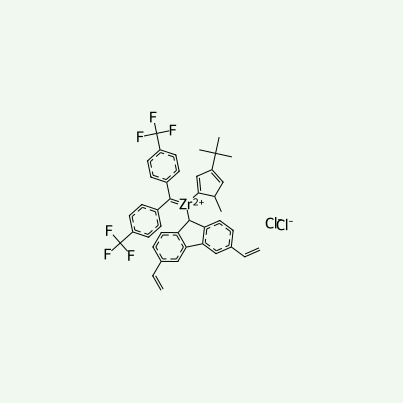 C=Cc1ccc2c(c1)-c1cc(C=C)ccc1[CH]2[Zr+2]([C]1=CC(C(C)(C)C)=CC1C)=[C](c1ccc(C(F)(F)F)cc1)c1ccc(C(F)(F)F)cc1.[Cl-].[Cl-]